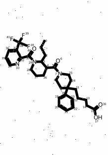 CCCC1C(C(=O)N2CCC(CCCCC(=O)O)(c3ccccc3)CC2)CCCN1C(=O)c1ncccc1C(F)(F)F